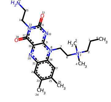 CCC[N+](C)(C)CCn1c2nc(=O)n(CCN)c(=O)c-2nc2cc(C)c(C)cc21